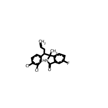 C=CCC(c1ccc(Cl)c(Cl)c1)C1(C)NC(=O)c2cc(F)ccc21